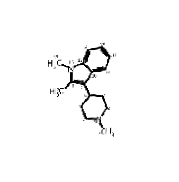 Cc1c(C2CCN(C)CC2)c2ccccc2n1C